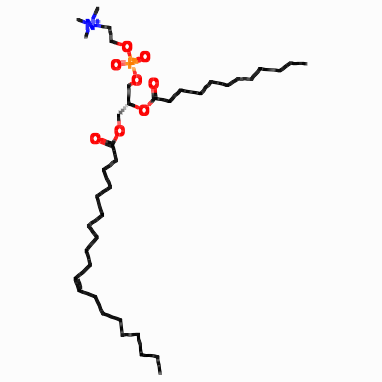 CCCCCCCC/C=C\CCCCCCCCCC(=O)OC[C@H](COP(=O)([O-])OCC[N+](C)(C)C)OC(=O)CCCCCCCCCCC